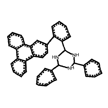 c1ccc(C2NC(c3ccccc3)NC(c3ccccc3-c3ccc4c5ccccc5c5ccccc5c4c3)N2)cc1